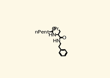 CCCCCC(=O)NC(CC(C)C)C(=O)NCCc1ccccc1